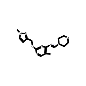 Cn1ccc(COc2ncc(F)c(/N=C/N3CCOCC3)n2)n1